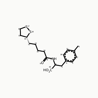 Cc1ccc(CC(NC(=O)CCCC[C@@H]2CCSS2)C(=O)O)cc1